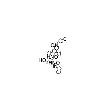 O=C(NCC(NC(=O)c1c(Cl)cc2c(c1Cl)CCN(Cc1ccc(Cl)cc1)C2=O)C(=O)O)NC1CCc2ccccc21